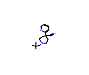 CC(C)(C)CN1CCC(C#N)(c2ccccn2)CC1